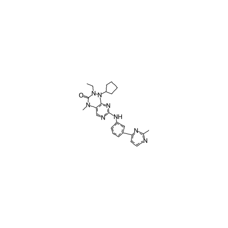 CCN1C(=O)N(C)c2cnc(Nc3cccc(-c4ccnc(C)n4)c3)nc2N1C1CCCC1